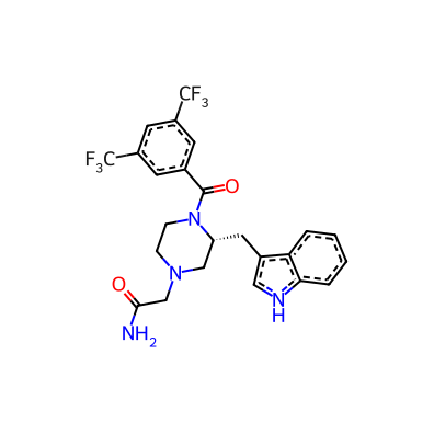 NC(=O)CN1CCN(C(=O)c2cc(C(F)(F)F)cc(C(F)(F)F)c2)[C@H](Cc2c[nH]c3ccccc23)C1